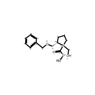 CC(C)(C)OC(=O)[N+]1(CO)CCC[C@H]1COCc1ccccc1